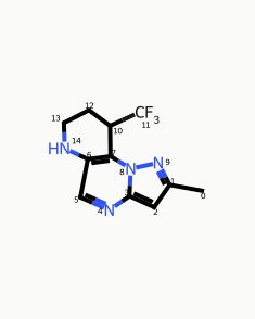 Cc1cc2ncc3c(n2n1)C(C(F)(F)F)CCN3